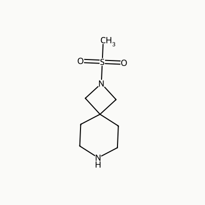 CS(=O)(=O)N1CC2(CCNCC2)C1